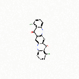 O=c1c2cc3[nH]c4cccc(Cl)c4c(=O)c3cc2[nH]c2cccc(Cl)c12